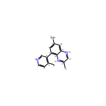 [2H]c1cc(-c2cnccc2C)c2nc(C)cnc2c1